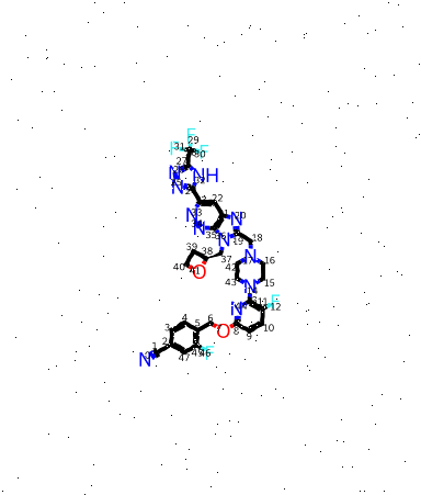 N#Cc1ccc(COc2ccc(F)c(N3CCN(Cc4nc5cc(-c6nnc(C(F)(F)F)[nH]6)nnc5n4C[C@@H]4CCO4)CC3)n2)c(F)c1